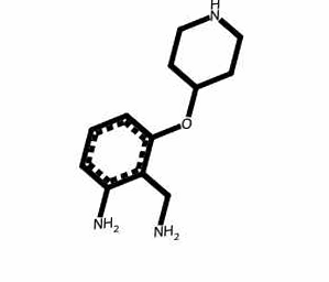 NCc1c(N)cccc1OC1CCNCC1